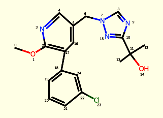 COc1ncc(Cn2cnc(C(C)(C)O)n2)cc1-c1cccc(Cl)c1